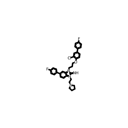 N=c1n(CCCOc2ccc(-c3ccc(F)cc3)cc2Cl)c2cc(-c3ccc(F)cc3)ccc2n1CCN1CCCC1